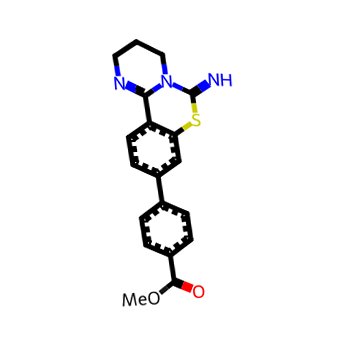 COC(=O)c1ccc(-c2ccc3c(c2)SC(=N)N2CCCN=C32)cc1